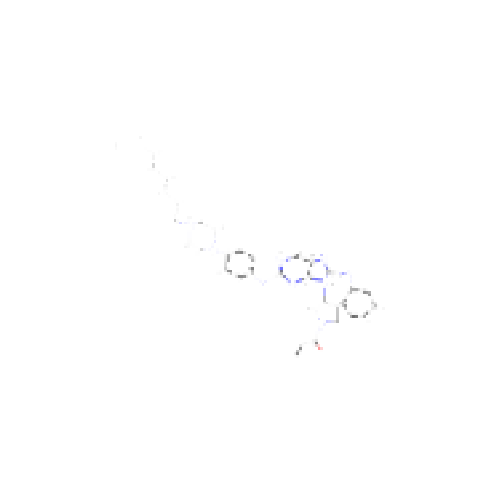 C=CC(=O)N1CCC(n2c(Nc3ccccc3)nc3cnc(Nc4ccc(N5CCN(CCCCCCC(=O)O)CC5)cc4)nc32)C1